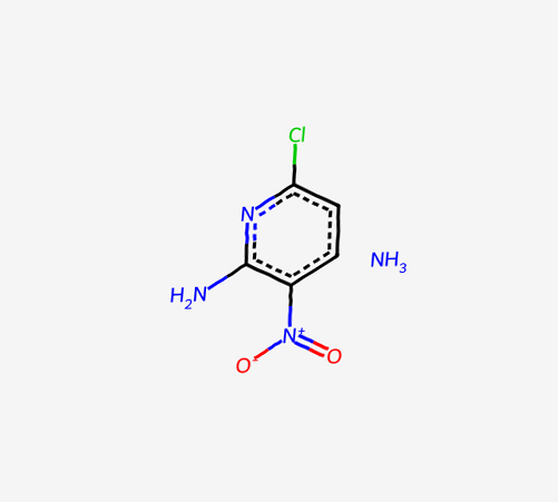 N.Nc1nc(Cl)ccc1[N+](=O)[O-]